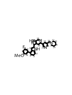 COc1cc(F)cc(-c2cccc3[nH]c(-c4n[nH]c5cnc(-c6cncc(CN7CCCCC7)c6)cc45)cc23)c1